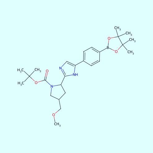 COCC1CC(c2ncc(-c3ccc(B4OC(C)(C)C(C)(C)O4)cc3)[nH]2)N(C(=O)OC(C)(C)C)C1